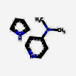 CN(C)c1ccncc1.c1cc[nH]c1